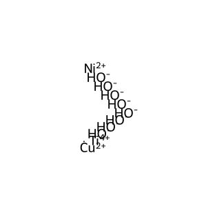 [Cu+2].[Ni+2].[OH-].[OH-].[OH-].[OH-].[OH-].[OH-].[OH-].[OH-].[Ti+4]